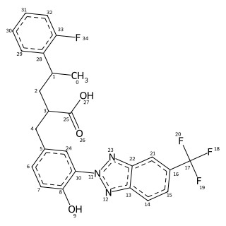 CC(CC(Cc1ccc(O)c(-n2nc3ccc(C(F)(F)F)cc3n2)c1)C(=O)O)c1ccccc1F